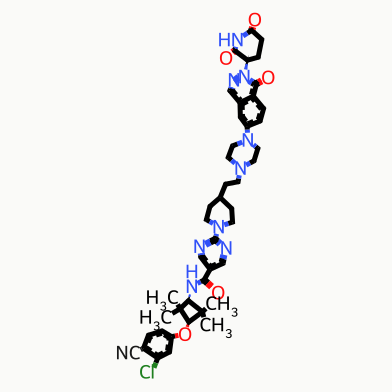 CC1(C)[C@H](NC(=O)c2cnc(N3CCC(CCN4CCN(c5ccc6c(=O)n([C@@H]7CCC(=O)NC7=O)ncc6c5)CC4)CC3)nc2)C(C)(C)[C@H]1Oc1ccc(C#N)c(Cl)c1